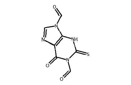 O=Cn1c(=S)[nH]c2c(ncn2C=O)c1=O